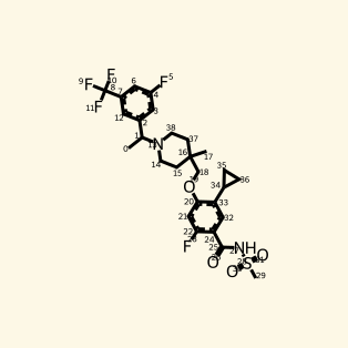 CC(c1cc(F)cc(C(F)(F)F)c1)N1CCC(C)(COc2cc(F)c(C(=O)NS(C)(=O)=O)cc2C2CC2)CC1